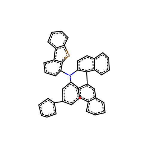 c1ccc(-c2cccc(N(c3ccc4ccccc4c3-c3ccc4ccccc4c3)c3cccc4c3sc3ccccc34)c2)cc1